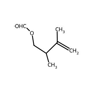 C=C(C)C(C)CO[C]=O